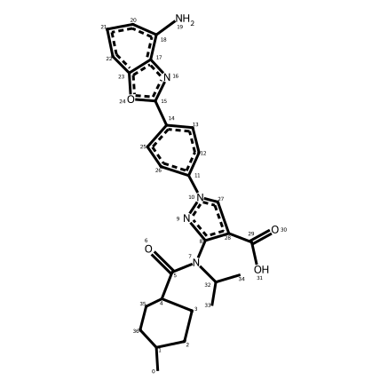 CC1CCC(C(=O)N(c2nn(-c3ccc(-c4nc5c(N)cccc5o4)cc3)cc2C(=O)O)C(C)C)CC1